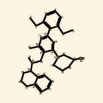 CCc1cccc(CC)c1-c1nc(C)c(CN(C)C2CCCc3ccccc32)c(N2CCCC(O)C2)n1